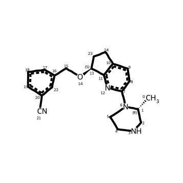 C[C@@H]1CNCCN1c1ccc2c(n1)[C@@H](OCc1cccc(C#N)c1)CC2